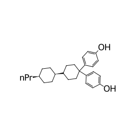 CCC[C@H]1CC[C@@H](C2CCC(c3ccc(O)cc3)(c3ccc(O)cc3)CC2)CC1